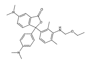 CCOCNc1c(C)ccc(C2(c3ccc(N(C)C)cc3)OC(=O)c3cc(N(C)C)ccc32)c1C